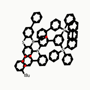 CC(C)(C)c1cccc(-c2cc3c4c(c2)N(c2ccccc2-c2ccccc2)c2cc(-c5cc([Si](c6ccccc6)(c6ccccc6)c6cccc(-c7ccccc7)c6)cc([Si](c6ccccc6)(c6ccccc6)c6cccc(-c7ccccc7)c6)c5)ccc2B4c2cc(-c4ccccc4)ccc2S3)c1